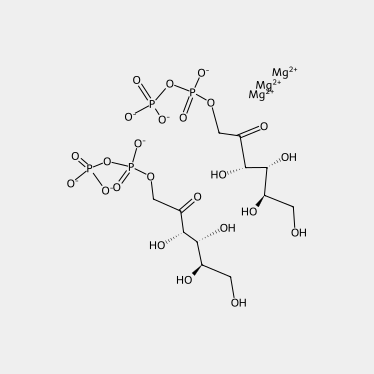 O=C(COP(=O)([O-])OP(=O)([O-])[O-])[C@@H](O)[C@H](O)[C@H](O)CO.O=C(COP(=O)([O-])OP(=O)([O-])[O-])[C@@H](O)[C@H](O)[C@H](O)CO.[Mg+2].[Mg+2].[Mg+2]